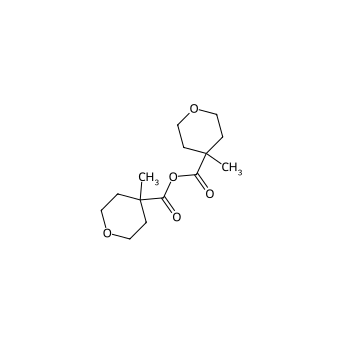 CC1(C(=O)OC(=O)C2(C)CCOCC2)CCOCC1